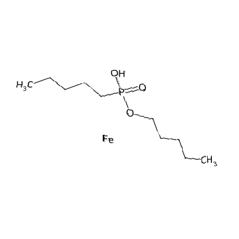 CCCCCOP(=O)(O)CCCCC.[Fe]